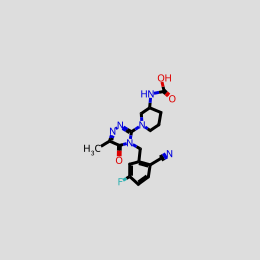 Cc1nnc(N2CCCC(NC(=O)O)C2)n(Cc2cc(F)ccc2C#N)c1=O